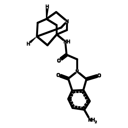 Nc1ccc2c(c1)C(=O)N(CC(=O)NC13C[C@@H]4C[C@@H](CN(C4)C1)C3)C2=O